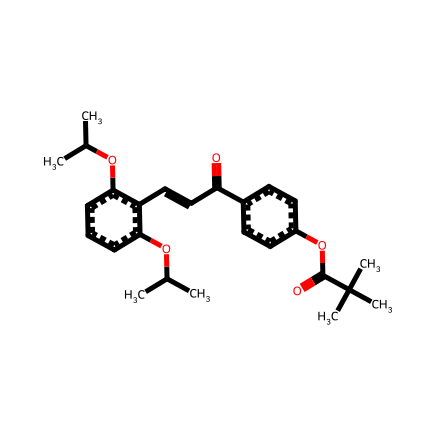 CC(C)Oc1cccc(OC(C)C)c1/C=C/C(=O)c1ccc(OC(=O)C(C)(C)C)cc1